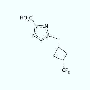 O=C(O)c1ncn(C[C@H]2C[C@@H](C(F)(F)F)C2)n1